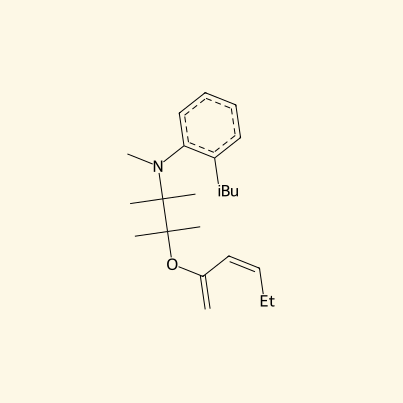 C=C(/C=C\CC)OC(C)(C)C(C)(C)N(C)c1ccccc1C(C)CC